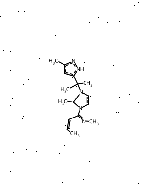 C/C=C\C(=N\C)N1C=CN(C(C)(C)c2cc(C)n[nH]2)[C@@H]1C